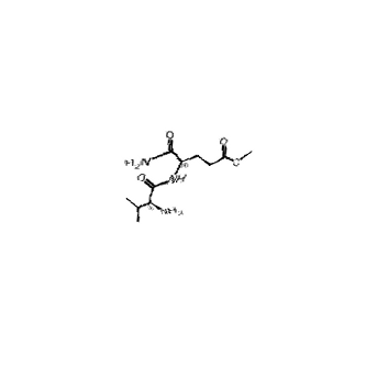 COC(=O)CC[C@@H](NC(=O)[C@@H](N)C(C)C)C(N)=O